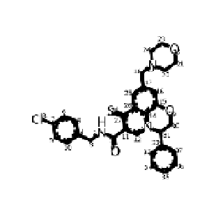 O=C(NCc1ccc(Cl)cc1)c1cn2c3c(cc(CN4CCOCC4)cc3c1=S)OCC2c1ccccc1